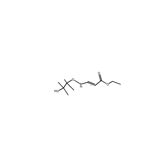 CCOC(=O)/C=C/BOC(C)(C)C(C)(C)O